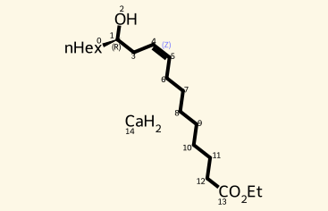 CCCCCC[C@@H](O)C/C=C\CCCCCCCC(=O)OCC.[CaH2]